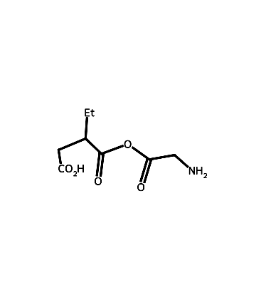 CCC(CC(=O)O)C(=O)OC(=O)CN